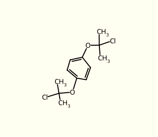 CC(C)(Cl)Oc1ccc(OC(C)(C)Cl)cc1